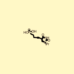 CC(C)n1cc(C#CCCCP(=O)(O)O)c(=O)[nH]c1=O